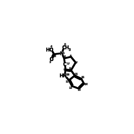 CN(C(=O)O)C1CCc2c([nH]c3ccccc23)C1